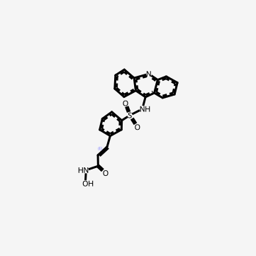 O=C(/C=C/c1cccc(S(=O)(=O)Nc2c3ccccc3nc3ccccc23)c1)NO